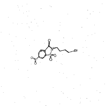 O=C1c2ccc([N+](=O)[O-])cc2S(=O)(=O)N1CCCCBr